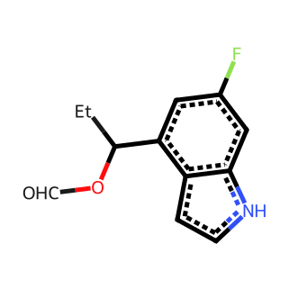 CCC(OC=O)c1cc(F)cc2[nH]ccc12